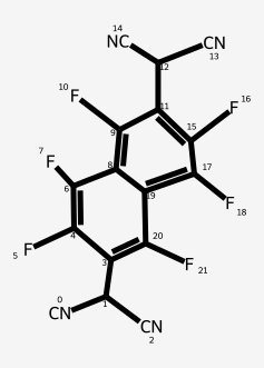 [C-]#[N+]C(C#N)c1c(F)c(F)c2c(F)c(C(C#N)C#N)c(F)c(F)c2c1F